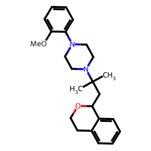 COc1ccccc1N1CCN(C(C)(C)CC2OCCc3ccccc32)CC1